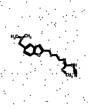 CSC(=NCCSCc1cc2cc(CN(C)C)ccc2o1)NC#N